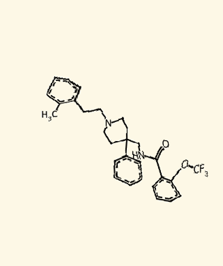 Cc1ccccc1CCN1CCC(CNC(=O)c2ccccc2OC(F)(F)F)(c2ccccc2)CC1